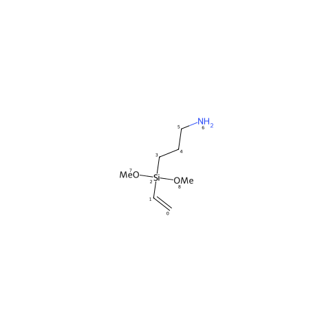 C=C[Si](CCCN)(OC)OC